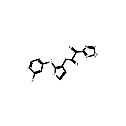 O=C(Cc1ccoc1Oc1cccc(Cl)c1)C(=O)c1nc[nH]n1